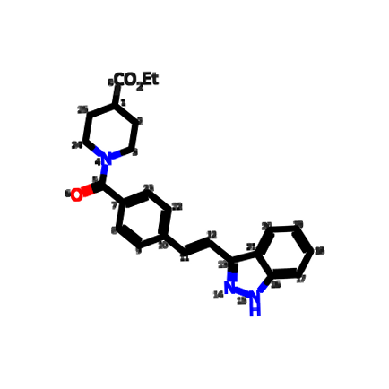 CCOC(=O)C1CCN(C(=O)c2ccc(C=Cc3n[nH]c4ccccc34)cc2)CC1